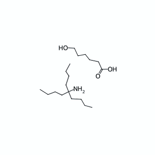 CCCCC(N)(CCCC)CCCC.O=C(O)CCCCCO